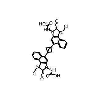 O=C=C1[C@@H](CCl)c2c(cc(C34CC(c5cc6c(c7ccccc57)[C@H](CCl)C(=C=O)N6NC(=O)O)(C3)C4)c3ccccc23)N1NC(=O)O